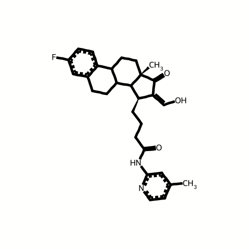 Cc1ccnc(NC(=O)CCC[C@@H]2/C(=C/O)C(=O)[C@@]3(C)CCC4c5ccc(F)cc5CCC4C23)c1